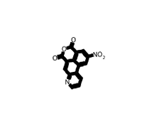 O=C1OC(=O)c2cc3ncccc3c3cc([N+](=O)[O-])cc1c23